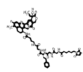 CC[C@@]1(O)C(=O)OCc2c1cc1n(c2=O)Cc2c-1nc1cc(F)c(C)c3c1c2[C@@H](NC(=O)CCCNC(=O)CNC(=O)[C@H](CCc1ccccc1)NC(=O)CNC(=O)CNC(=O)CCCCCN1C(=O)C=CC1=O)CC3